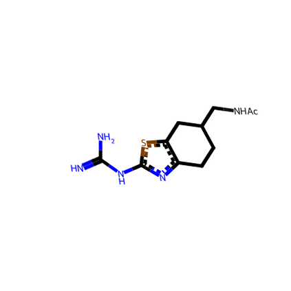 CC(=O)NCC1CCc2nc(NC(=N)N)sc2C1